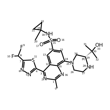 Cc1nc(-c2nnc(C(F)F)s2)c2cc(S(=O)(=O)NC3(C)CC3)cc(N3CCN[C@@H](C(C)(C)O)C3)c2n1